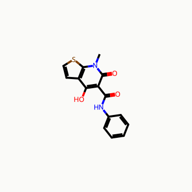 Cn1c(=O)c(C(=O)Nc2ccccc2)c(O)c2ccsc21